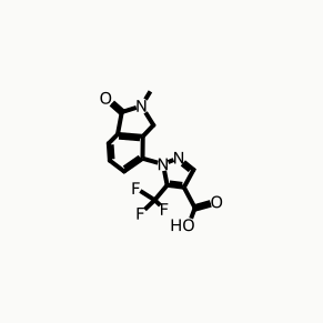 CN1Cc2c(cccc2-n2ncc(C(=O)O)c2C(F)(F)F)C1=O